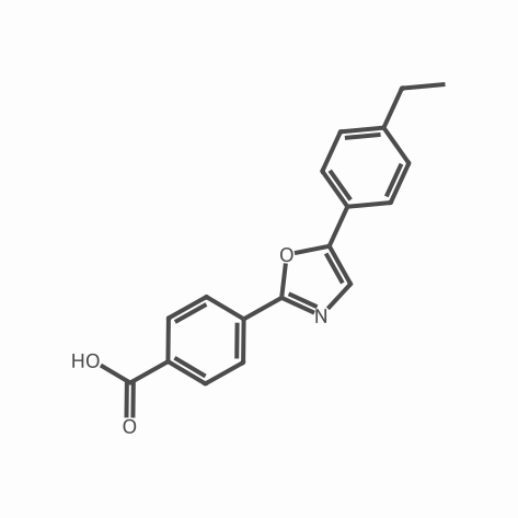 CCc1ccc(-c2cnc(-c3ccc(C(=O)O)cc3)o2)cc1